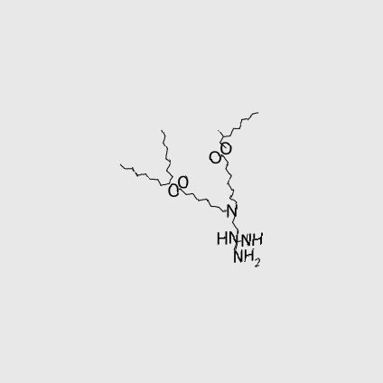 CCCCCCCCC(CCCCCCCC)OC(=O)CCCCCCCN(CCCCCCCC(=O)OCC(C)CCCCCCC)CCCN/C(=C/N)NC